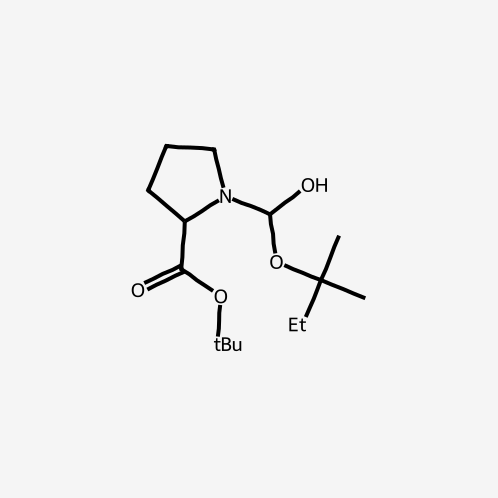 CCC(C)(C)OC(O)N1CCCC1C(=O)OC(C)(C)C